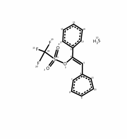 O=S(=O)(O/C(=C\c1ccccc1)c1ccccc1)C(F)(F)F.S